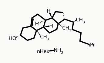 CC(C)CCC[C@@H](C)[C@H]1CC[C@H]2[C@@H]3CC=C4C[C@@H](O)CC[C@]4(C)[C@H]3CC[C@]12C.CCCCCCN